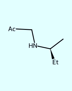 CC[C@H](C)NCC(C)=O